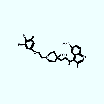 COc1ccc2ncc(F)c(C(F)CCC3(C(=O)O)CCN(CCOc4cc(F)c(F)c(F)c4)CC3)c2c1